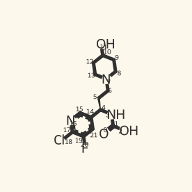 O=C(O)N[C@H](CCN1CCC(O)CC1)c1cnc(Cl)c(F)c1